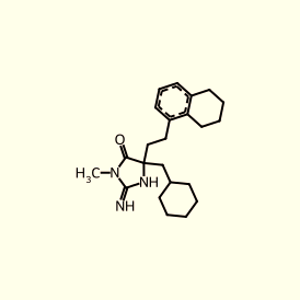 CN1C(=N)NC(CCc2cccc3c2CCCC3)(CC2CCCCC2)C1=O